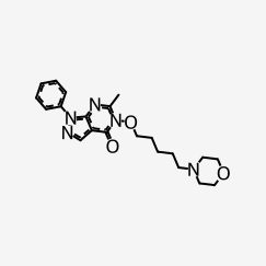 Cc1nc2c(cnn2-c2ccccc2)c(=O)n1OCCCCCN1CCOCC1